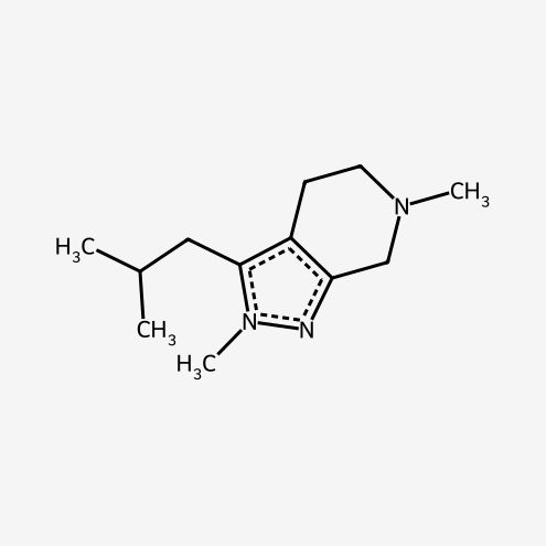 CC(C)Cc1c2c(nn1C)CN(C)CC2